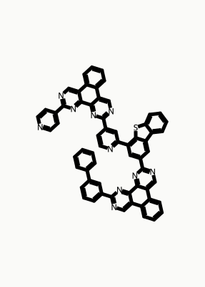 c1ccc(-c2cccc(-c3ncc4c5ccccc5c5cnc(-c6cc(-c7cc(-c8ncc9c%10ccccc%10c%10cnc(-c%11ccncc%11)nc%10c9n8)ccn7)c7sc8ccccc8c7c6)nc5c4n3)c2)cc1